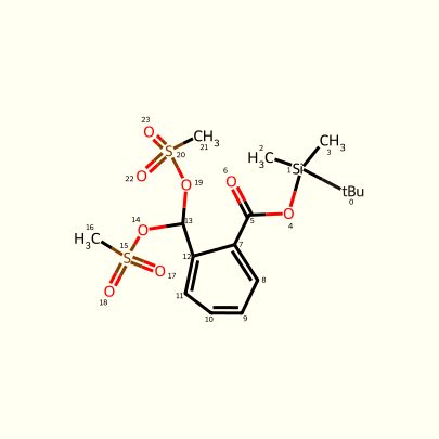 CC(C)(C)[Si](C)(C)OC(=O)c1ccccc1C(OS(C)(=O)=O)OS(C)(=O)=O